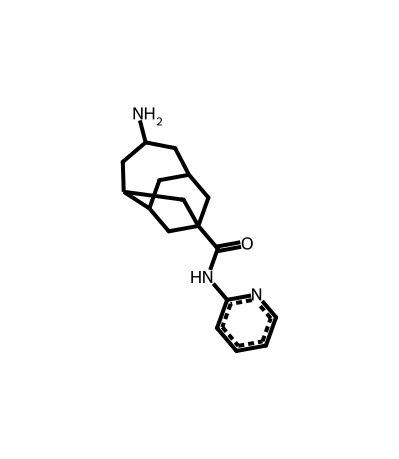 NC1CC2CC3CC(C(=O)Nc4ccccn4)(C2)CC3C1